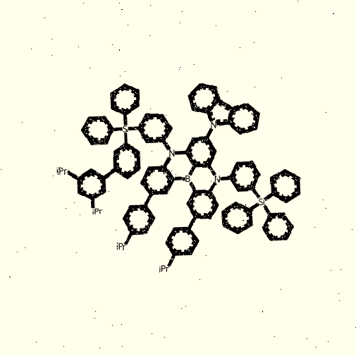 CC(C)c1ccc(-c2ccc3c(c2)B2c4cc(-c5ccc(C(C)C)cc5)ccc4N(c4cccc([Si](c5ccccc5)(c5ccccc5)c5cccc(-c6cc(C(C)C)cc(C(C)C)c6)c5)c4)c4cc(-n5c6ccccc6c6ccccc65)cc(c42)N3c2cccc([Si](c3ccccc3)(c3ccccc3)c3ccccc3)c2)cc1